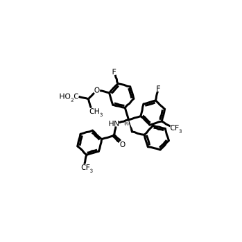 CC(Oc1cc([C@@](Cc2ccccc2)(NC(=O)c2cccc(C(F)(F)F)c2)c2cc(F)cc(C(F)(F)F)c2)ccc1F)C(=O)O